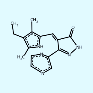 CCc1c(C)[nH]c(/C=C2/C(=O)NN=C2c2cnccn2)c1C